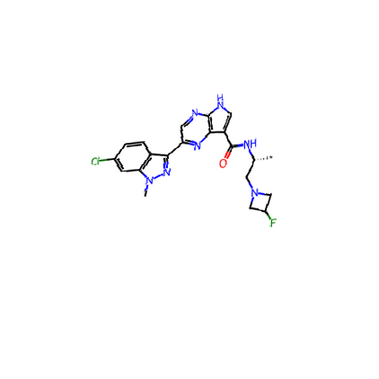 C[C@H](CN1CC(F)C1)NC(=O)c1c[nH]c2ncc(-c3nn(C)c4cc(Cl)ccc34)nc12